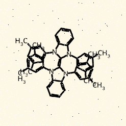 Cc1cc(C)cc(N2C(=C3N(c4cc(C)cc(C)c4)c4ccccc4N3c3cc(C)cc(C)c3)N(c3cc(C)cc(C)c3)c3ccccc32)c1